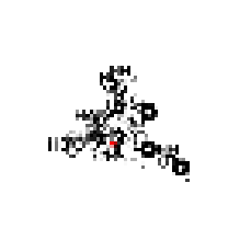 Nc1ccn([C@@H]2O[C@H](COP(=O)(O)O)[C@@H](OP(=O)(O)OCC3O[C@@H](n4cnc5c(N)ncnc54)[C@H](O)[C@@H]3OC(=O)[C@H](Cc3cccc(Cl)c3)NC(=O)OCc3ccc(NC(=O)Cc4ccc(F)cc4)cc3)[C@H]2OC2CCCO2)c(=O)n1